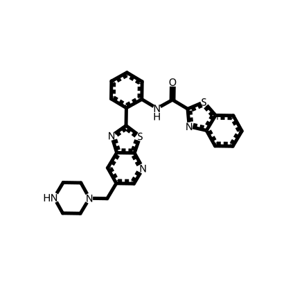 O=C(Nc1ccccc1-c1nc2cc(CN3CCNCC3)cnc2s1)c1nc2ccccc2s1